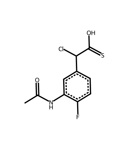 CC(=O)Nc1cc(C(Cl)C(O)=S)ccc1F